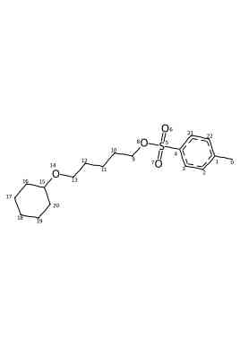 Cc1ccc(S(=O)(=O)OCCCCCOC2CCCCC2)cc1